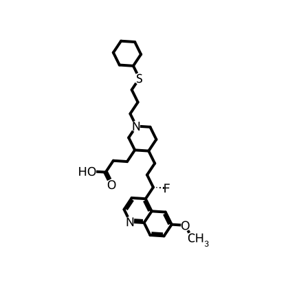 COc1ccc2nccc([C@@H](F)CCC3CCN(CCCSC4CCCCC4)CC3CCC(=O)O)c2c1